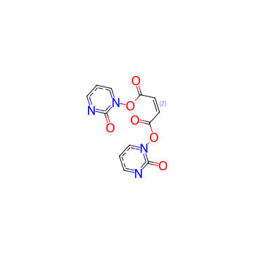 O=C(/C=C\C(=O)On1cccnc1=O)On1cccnc1=O